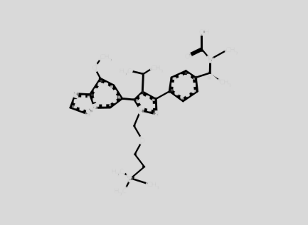 COc1cc(-c2c(C(C)C)c(-c3ccc([C@H](C)N(C)C(=O)O)cc3)nn2COCC[Si](C)(C)C)cn2ncnc12